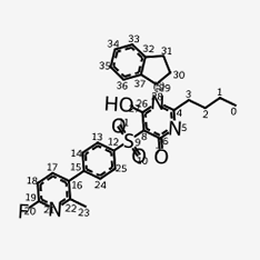 CCCCc1nc(=O)c(S(=O)(=O)c2ccc(-c3ccc(F)nc3C)cc2)c(O)n1[C@H]1CCc2ccccc21